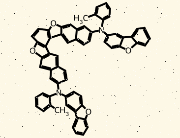 Cc1ccccc1N(c1ccc2cc3c(cc2c1)oc1ccc2oc4cc5cc(N(c6ccc7oc8ccccc8c7c6)c6ccccc6C)ccc5cc4c2c13)c1ccc2oc3ccccc3c2c1